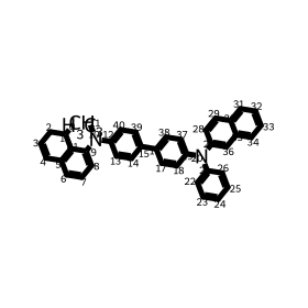 CC1CC=Cc2cccc(N(C)c3ccc(-c4ccc(N(c5ccccc5)c5ccc6ccccc6c5)cc4)cc3)c21